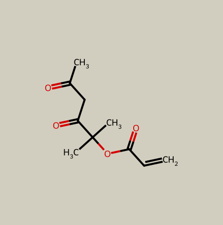 C=CC(=O)OC(C)(C)C(=O)CC(C)=O